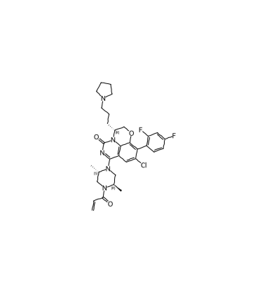 C=CC(=O)N1C[C@H](C)N(c2nc(=O)n3c4c(c(-c5ccc(F)cc5F)c(Cl)cc24)OC[C@H]3CCCN2CCCC2)C[C@H]1C